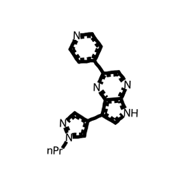 CCCn1cc(-c2c[nH]c3ncc(-c4ccncc4)nc23)cn1